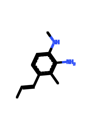 C/C=C/c1ccc(NC)c(N)c1C